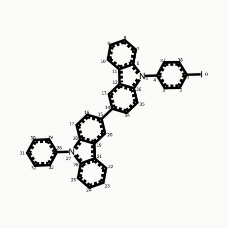 Ic1ccc(-n2c3ccccc3c3cc(-c4ccc5c(c4)c4ccccc4n5-c4ccccc4)ccc32)cc1